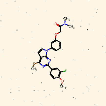 COc1ccc(-c2nc(SC)c3ccn(-c4cccc(OCC(=O)N(C)C)c4)c3n2)cc1F